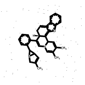 CC1=CC2C(c3ccccc3C3=CN4C=C(C)C(C)=CC4C4=c5oc6ccccc6c5=CC[C@@H]34)N2C1